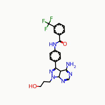 NC1=NC=NC2C1C(c1ccc(NC(=O)c3cccc(C(F)(F)F)c3)cc1)=NN2CCCO